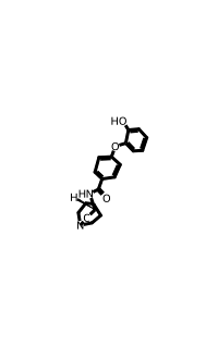 O=C(N[C@H]1CN2CCC1CC2)c1ccc(Oc2ccccc2O)cc1